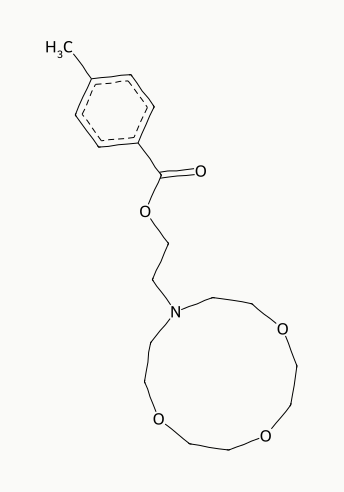 Cc1ccc(C(=O)OCCN2CCOCCOCCOCC2)cc1